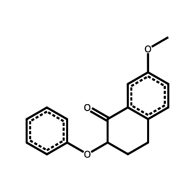 COc1ccc2c(c1)C(=O)C(Oc1ccccc1)CC2